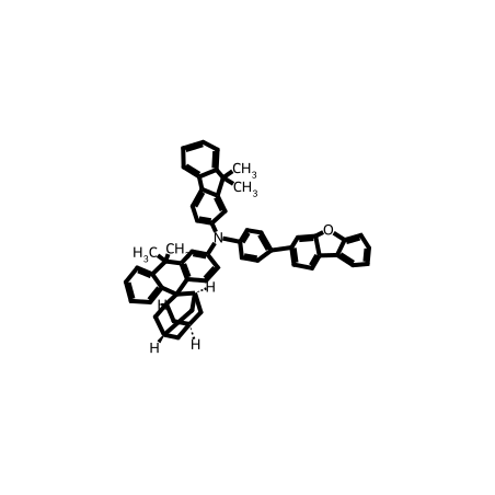 CC1(C)c2ccccc2-c2ccc(N(c3ccc(-c4ccc5c(c4)oc4ccccc45)cc3)c3ccc4c(c3)C(C)(C)c3ccccc3C43[C@H]4C[C@@H]5C[C@@H](C[C@@H]3C5)C4)cc21